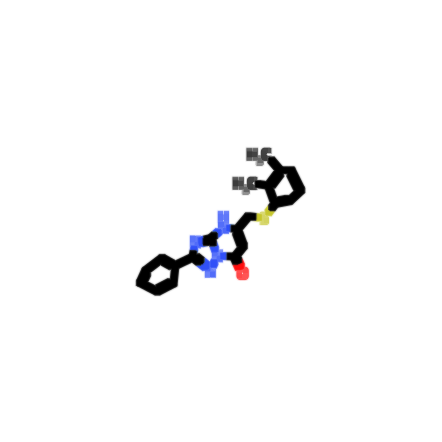 Cc1cccc(SCc2cc(=O)n3nc(-c4ccccc4)nc3[nH]2)c1C